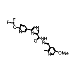 COc1cnc(C)c(/C=N/NC(=O)c2cncc(-c3ccc(OC(F)F)nc3)n2)c1